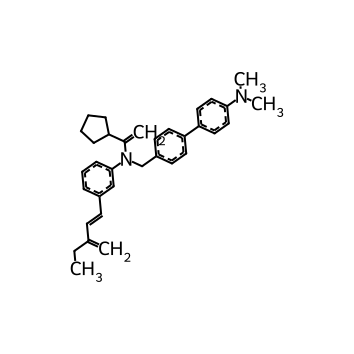 C=C(/C=C/c1cccc(N(Cc2ccc(-c3ccc(N(C)C)cc3)cc2)C(=C)C2CCCC2)c1)CC